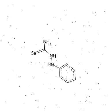 NC(=[Se])NNc1ccccc1